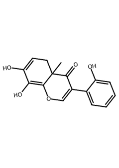 CC12CC=C(O)C(O)=C1OC=C(c1ccccc1O)C2=O